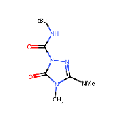 CNc1nn(C(=O)NC(C)(C)C)c(=O)n1C